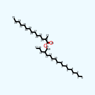 CCCCCCCCCCCCCCC(CCC)COC(=O)C(C)CCCCCCCCCCCC